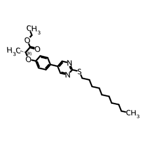 CCCCCCCCCCSc1ncc(-c2ccc(O[C@H](C)C(=O)OCC)cc2)cn1